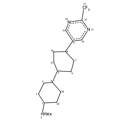 CCCCCCC1CCC(C2CCC(c3cnc(C(F)(F)F)nc3)CC2)CC1